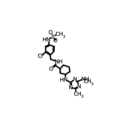 CNc1nc(C)nc(NC2CCCC(C(=O)NCc3ccc(NS(C)(=O)=O)cc3Cl)C2)n1